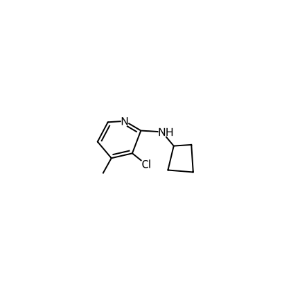 Cc1ccnc(NC2CCC2)c1Cl